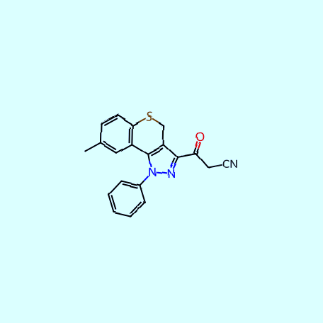 Cc1ccc2c(c1)-c1c(c(C(=O)CC#N)nn1-c1ccccc1)CS2